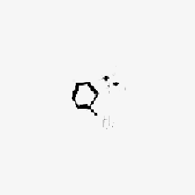 O=S(=O)([O-])[O-].Pc1ccccc1.[Pd+2]